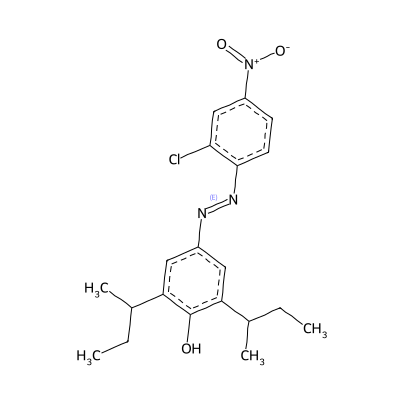 CCC(C)c1cc(/N=N/c2ccc([N+](=O)[O-])cc2Cl)cc(C(C)CC)c1O